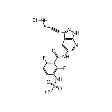 CCCS(=O)(=O)Nc1ccc(F)c(C(=O)Nc2cnc3[nH]nc(C#CCNCC)c3c2)c1F